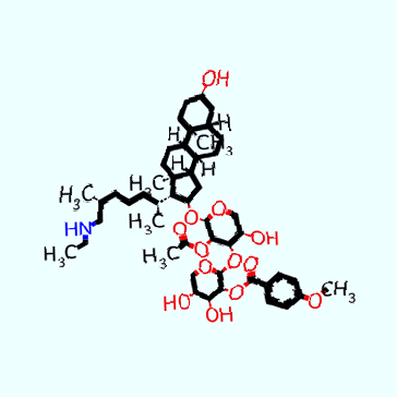 CCNC[C@H](C)CCC[C@@H](C)[C@H]1[C@@H](O[C@@H]2OC[C@H](O)[C@H](O[C@@H]3OC[C@@H](O)[C@H](O)[C@H]3OC(=O)c3ccc(OC)cc3)[C@H]2OC(C)=O)C[C@H]2[C@@H]3CC[C@H]4C[C@@H](O)CC[C@]4(C)[C@H]3CC[C@]12C